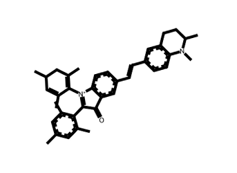 CC1=CC(C)CC(C)=C1[N+]1=C(c2c(C)cc(C)cc2C)C(=O)c2cc(/C=C/c3ccc4c(c3)CCC(C)N4C)ccc21